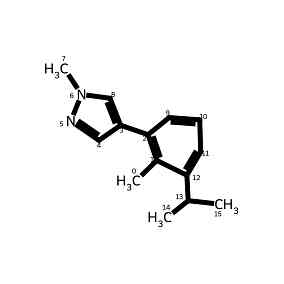 Cc1c(-c2cnn(C)c2)cccc1C(C)C